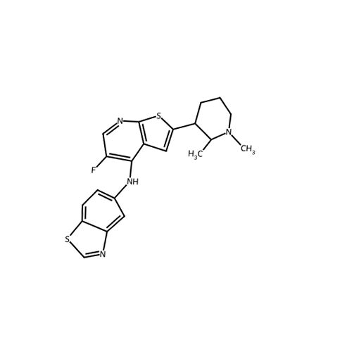 CC1C(c2cc3c(Nc4ccc5scnc5c4)c(F)cnc3s2)CCCN1C